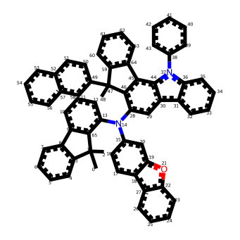 CC1(C)c2ccccc2-c2cccc(N(c3ccc4c(c3)oc3ccccc34)c3cc4c5ccccc5n(-c5ccccc5)c4c4c3C(C)(c3ccc5ccccc5c3)c3ccccc3-4)c21